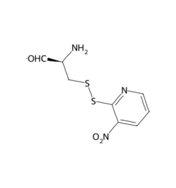 N[C@H]([C]=O)CSSc1ncccc1[N+](=O)[O-]